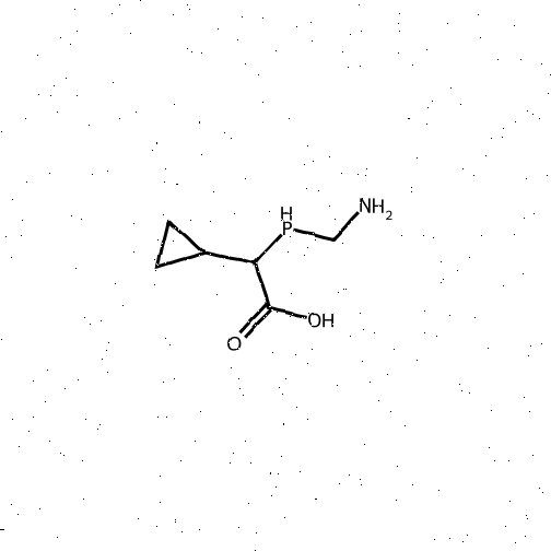 NCPC(C(=O)O)C1CC1